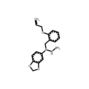 BBN(Cc1ccccc1OCC=C)c1ccc2c(c1)OCO2